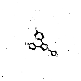 Fc1ccc(-c2nn(C3COC3)cc2-c2cc[nH]c2)nc1